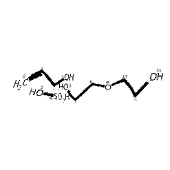 C=CCO.O=S(=O)(O)O.OCCOCCO